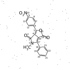 CN1C(=O)C2=C(c3ccc([N+](=O)[O-])cc3)OC(=O)C2=C1c1ccccc1